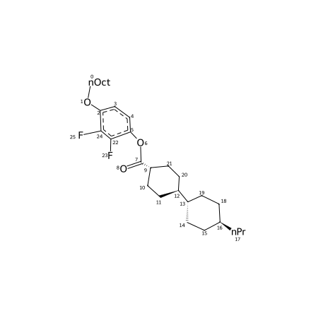 CCCCCCCCOc1ccc(OC(=O)[C@H]2CC[C@H]([C@H]3CC[C@H](CCC)CC3)CC2)c(F)c1F